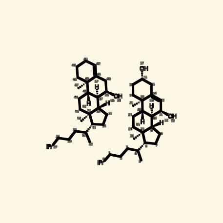 CC(C)CCCC(C)[C@H]1CC[C@H]2[C@@H]3[C@H](O)C=C4C[C@@H](O)CC[C@]4(C)[C@H]3CC[C@]12C.CC(C)CCCC(C)[C@H]1CC[C@H]2[C@@H]3[C@H](O)CC4=CCCC[C@]4(C)[C@H]3CC[C@]12C